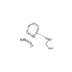 N=C=O.OCNc1ccccc1